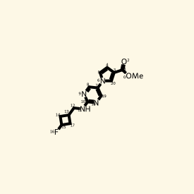 COC(=O)c1ccn(-c2cnc(NCC3CC(F)C3)nc2)c1